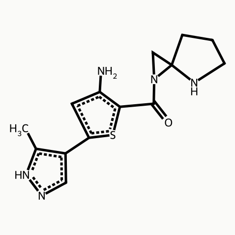 Cc1[nH]ncc1-c1cc(N)c(C(=O)N2CC23CCCN3)s1